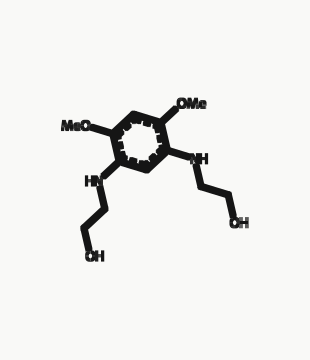 COc1cc(OC)c(NCCO)cc1NCCO